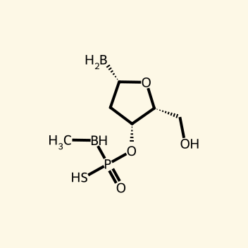 B[C@H]1C[C@@H](OP(=O)(S)BC)[C@@H](CO)O1